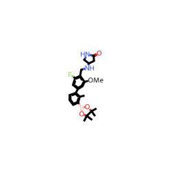 COc1cc(-c2cccc(B3OC(C)(C)C(C)(C)O3)c2C)cc(F)c1CNC1CNC(=O)C1